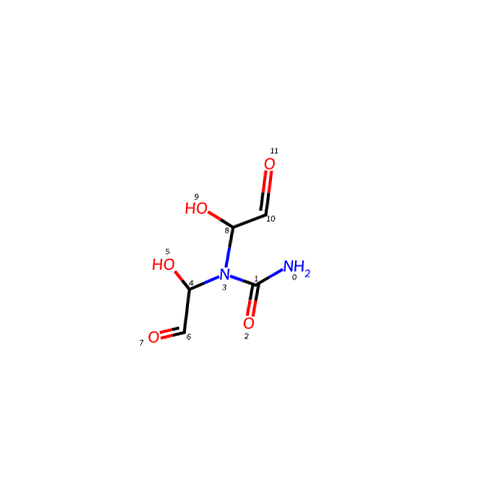 NC(=O)N(C(O)C=O)C(O)C=O